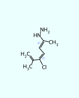 C=C(C)/C(Cl)=C\C=C(/C)NN